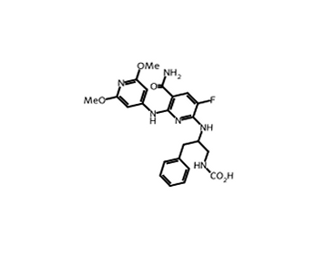 COc1cc(Nc2nc(NC(CNC(=O)O)Cc3ccccc3)c(F)cc2C(N)=O)cc(OC)n1